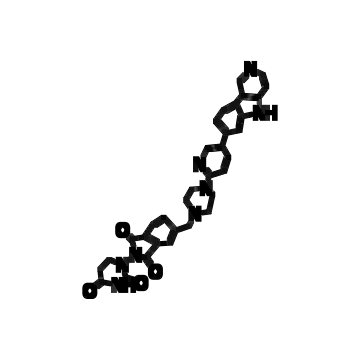 O=C1CCN(N2C(=O)c3ccc(CN4CCN(c5ccc(-c6ccc7c(c6)[nH]c6ccncc67)cn5)CC4)cc3C2=O)C(=O)N1